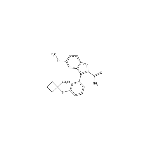 CCOC(=O)C1(Sc2cccc(-n3c(C(N)=O)cc4ccc(OC(F)(F)F)cc43)c2)CCC1